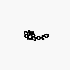 COc1cc(NS(=O)(=O)c2cccc3cccnc23)ccc1C(=O)N1CCN(C(=O)OC2CCOCC2)CC1